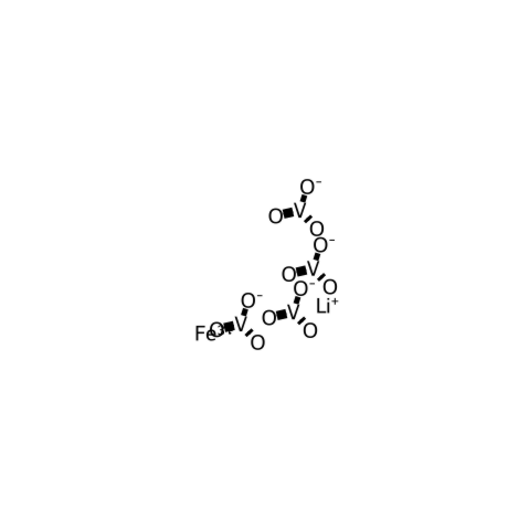 [Fe+3].[Li+].[O]=[V](=[O])[O-].[O]=[V](=[O])[O-].[O]=[V](=[O])[O-].[O]=[V](=[O])[O-]